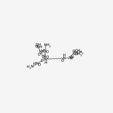 CC(C)(C)C(=O)NCc1cn(CCCNC(=O)CCCCCCCCCCC(=O)NC(COCCC(=O)NCCCN)(COCCC(=O)NCCCN)COCCC(=O)NCCCNOO)nn1